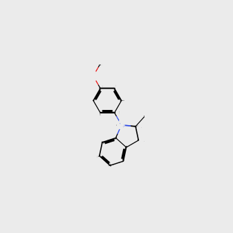 COc1ccc(N2c3ccccc3CC2C)cc1